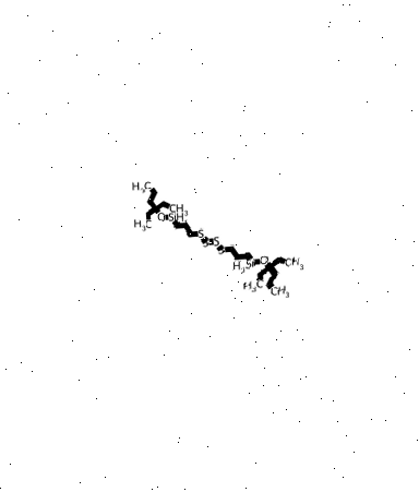 CCCC(CC)(CC)O[SiH2]CCCSSSSCCC[SiH2]OC(CC)(CC)CCC